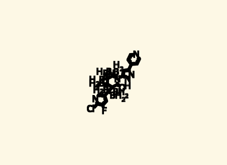 BC1(B)N(c2cc(-c3ccncc3)n[nH]2)C(=O)[C@@](B)(C(B)(B)c2cnc(Cl)c(F)c2)C(B)(B)C1(B)B